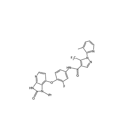 Cc1cccnc1-n1ncc(C(=O)Nc2ccc(Oc3ccnc4[nH]c(=O)n(C(C)C)c34)c(F)c2)c1C(F)(F)F